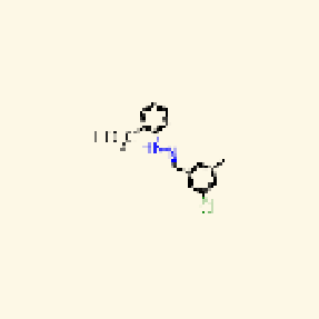 Cc1cc(Cl)cc(/C=N/Nc2ccccc2C(=O)O)c1